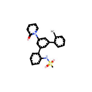 CS(=O)(=O)Nc1ccccc1-c1cc(-c2ccccc2C#N)cc(-n2ccccc2=O)c1